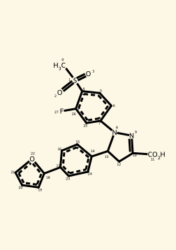 CS(=O)(=O)c1ccc(N2N=C(C(=O)O)CC2c2ccc(-c3ccco3)cc2)cc1F